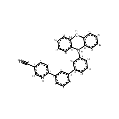 N#Cc1ccc(-c2cccc(-c3cccc(N4c5ccccc5Oc5ccccc54)c3)c2)nc1